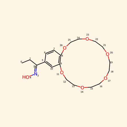 CCC(=NO)c1ccc2c(c1)OCCOCCOCCOCCOCCO2